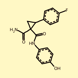 NC(=O)C1(C(=O)Nc2ccc(O)cc2)CC1c1ccc(F)cc1